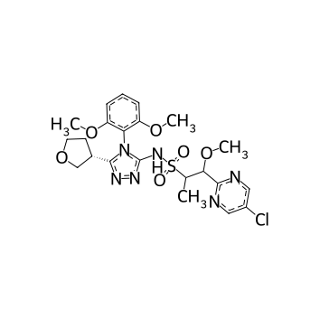 COc1cccc(OC)c1-n1c(NS(=O)(=O)C(C)C(OC)c2ncc(Cl)cn2)nnc1[C@H]1CCOC1